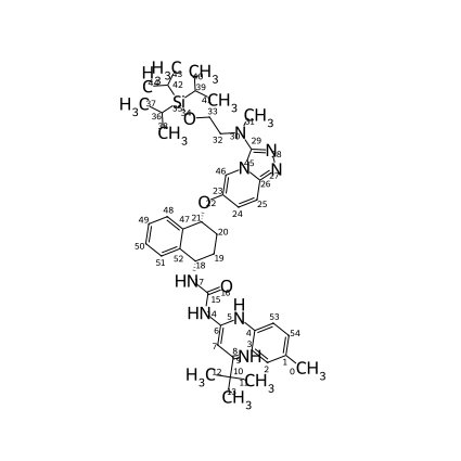 Cc1ccc(N/C(=C\C(=N)C(C)(C)C)NC(=O)N[C@H]2CC[C@@H](Oc3ccc4nnc(N(C)CCO[Si](C(C)C)(C(C)C)C(C)C)n4c3)c3ccccc32)cc1